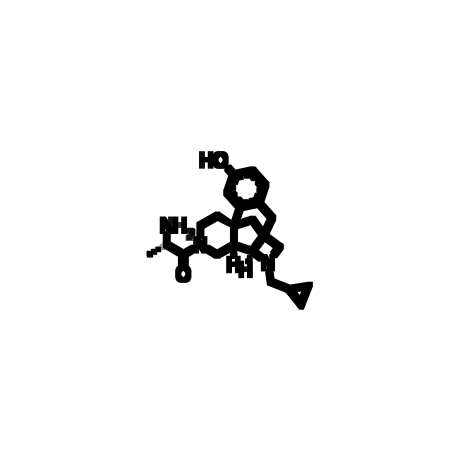 C[C@H](N)C(=O)N1CC[C@]23CC4(Cc5ccc(O)cc52)CN(CC2CC2)[C@H]4[C@@H]3C1